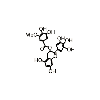 COc1cc(C(=O)OC2Cc3c(O)cc(O)cc3O[C@@H]2c2cc(O)c(O)c(O)c2)cc(O)c1O